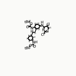 CC(C)(C)OC(=O)Nc1cccc(CCc2cc(Nc3nc(Cl)ncc3Cl)ccc2NC(=O)OC(C)(C)C)c1